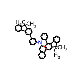 CC1(C)c2ccccc2-c2cc(-c3cccc(N(c4ccc5ccccc5c4)c4ccccc4-c4cccc5c4-c4ccccc4C5(C)C)c3)ccc21